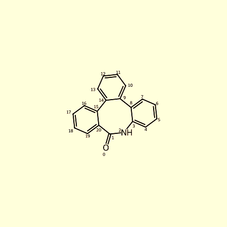 O=C1Nc2ccccc2-c2ccccc2-c2ccccc21